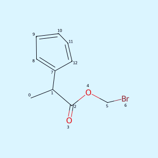 CC(C(=O)OCBr)c1ccccc1